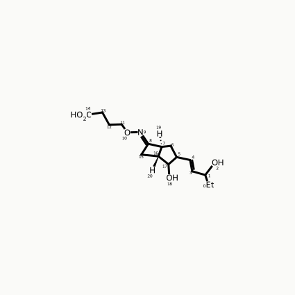 CCC(O)C=CC1C[C@@H]2C(=NOCCCC(=O)O)C[C@H]2C1O